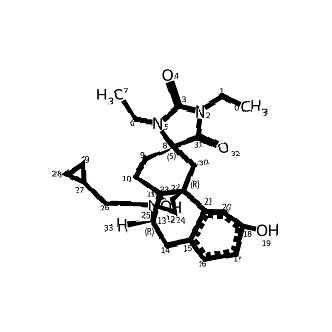 CCN1C(=O)N(CC)[C@]2(CC[C@@]3(O)[C@H]4Cc5ccc(O)cc5[C@@]3(CCN4CC3CC3)C2)C1=O